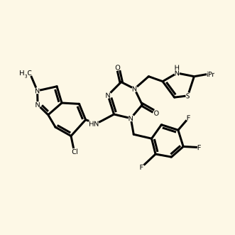 CC(C)C1NC(Cn2c(=O)nc(Nc3cc4cn(C)nc4cc3Cl)n(Cc3cc(F)c(F)cc3F)c2=O)=CS1